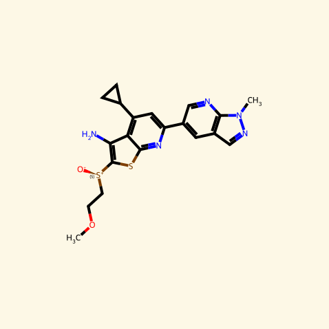 COCC[S@@+]([O-])c1sc2nc(-c3cnc4c(cnn4C)c3)cc(C3CC3)c2c1N